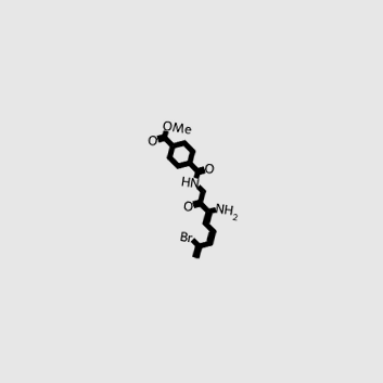 C=C(Br)/C=C\C=C(/N)C(=O)CNC(=O)C1CCC(C(=O)OC)CC1